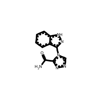 NC(=O)c1nncn1-c1n[nH]c2ccccc12